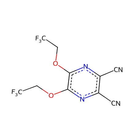 N#Cc1nc(OCC(F)(F)F)c(OCC(F)(F)F)nc1C#N